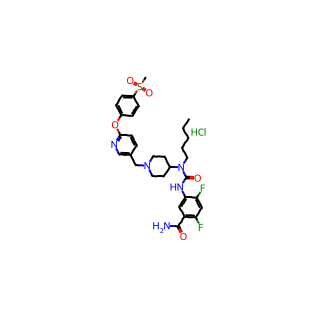 CCCCCN(C(=O)Nc1cc(C(N)=O)c(F)cc1F)C1CCN(Cc2ccc(Oc3ccc(S(C)(=O)=O)cc3)nc2)CC1.Cl